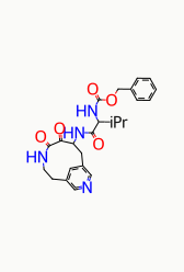 CC(C)C(NC(=O)OCc1ccccc1)C(=O)NC1Cc2cncc(c2)CCNC(=O)C1=O